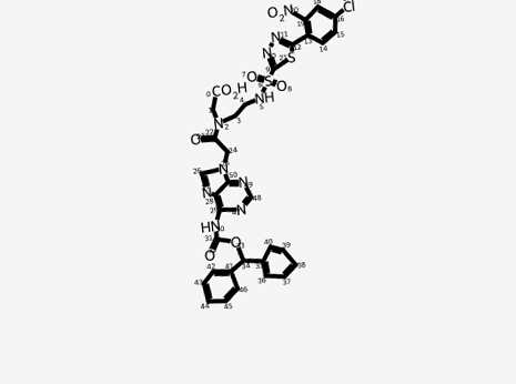 O=C(O)CN(CCNS(=O)(=O)c1nnc(-c2ccc(Cl)cc2[N+](=O)[O-])s1)C(=O)Cn1cnc2c(NC(=O)OC(c3ccccc3)c3ccccc3)ncnc21